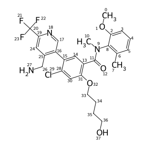 COc1cccc(C)c1N(C)C(=O)c1cc(-c2cnc(C(F)(F)F)cc2CN)c(Cl)cc1OCCCCO